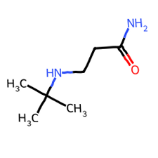 CC(C)(C)NCCC(N)=O